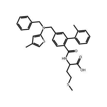 CSCCC(NC(=O)c1ccc(CN(Cc2ccccc2)c2cc(C)cs2)cc1-c1ccccc1C)C(=O)O